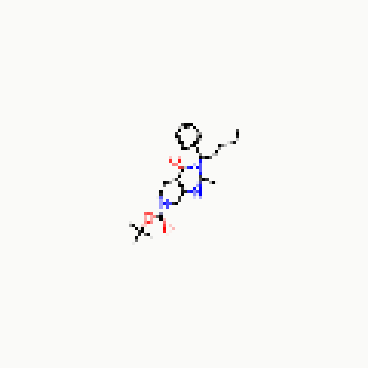 CCCCC(c1ccccc1)n1c(C)nc2c(c1=O)CCN(C(=O)OC(C)(C)C)C2